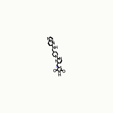 O=C1NC(=O)/C(=C/c2ccnc(N3CCC(CNc4ccc5nccn5n4)CC3)n2)S1